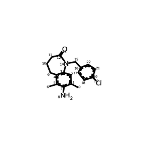 Cc1cc2c(c(C)c1N)CCCC(=O)N2Cc1ccc(Cl)cc1